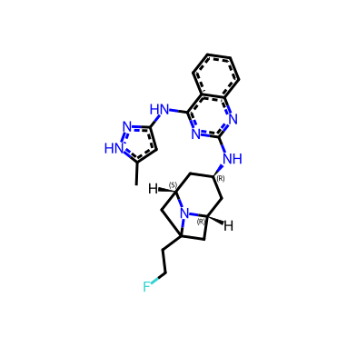 Cc1cc(Nc2nc(N[C@H]3C[C@@H]4CC5(CCF)C[C@H](C3)N45)nc3ccccc23)n[nH]1